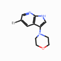 CCc1cnc2[nH]cc(N3CCOCC3)c2c1